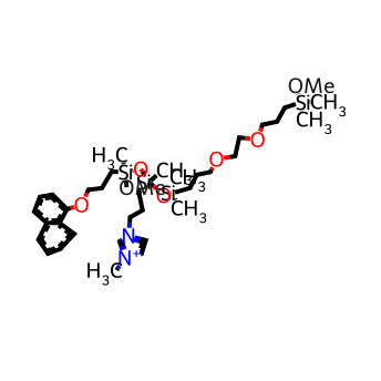 CO[Si](C)(C)CCCOCCOCCC[Si](C)(C)O[Si](C)(CCCn1cc[n+](C)c1)O[Si](C)(CCCOc1cccc2ccccc12)OC